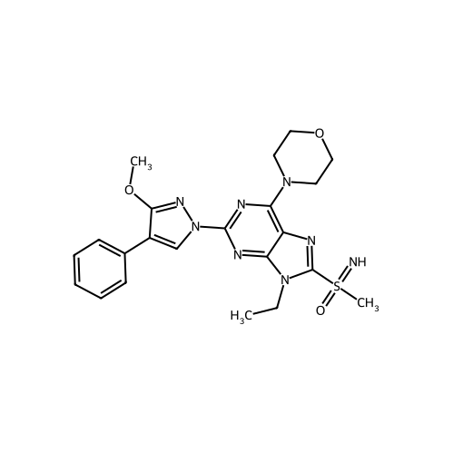 CCn1c(S(C)(=N)=O)nc2c(N3CCOCC3)nc(-n3cc(-c4ccccc4)c(OC)n3)nc21